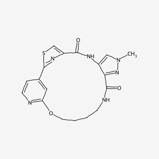 Cn1cc2c(n1)C(=O)NCCCCOc1cc(ccn1)-c1nc(cs1)C(=O)N2